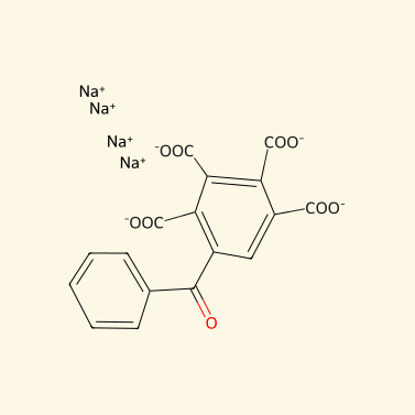 O=C([O-])c1cc(C(=O)c2ccccc2)c(C(=O)[O-])c(C(=O)[O-])c1C(=O)[O-].[Na+].[Na+].[Na+].[Na+]